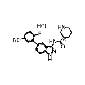 Cl.N#Cc1ccc(F)c(-c2ccc3[nH]nc(NC(=O)[C@@H]4CCCNC4)c3c2)c1